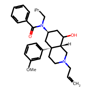 C=CCN1CC[C@@]2(c3cccc(OC)c3)C[C@@H](N(CC(C)C)C(=O)c3ccccc3)CC(O)[C@@H]2C1